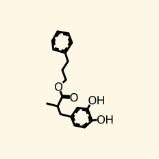 CC(Cc1ccc(O)c(O)c1)C(=O)OCCCc1ccccc1